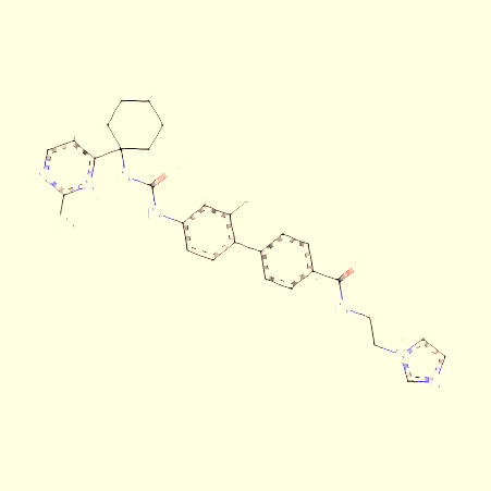 N#Cc1nccc(C2(NC(=O)Nc3ccc(-c4ccc(C(=O)NCCn5ccnc5)cc4)c(F)c3)CCCCC2)n1